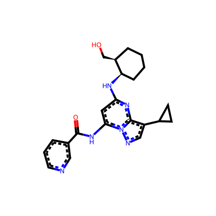 O=C(Nc1cc(N[C@@H]2CCCC[C@@H]2CO)nc2c(C3CC3)cnn12)c1cccnc1